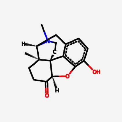 CN1CC[C@]23c4c5ccc(O)c4O[C@H]2C(=O)CC[C@@]3(C)[C@H]1C5